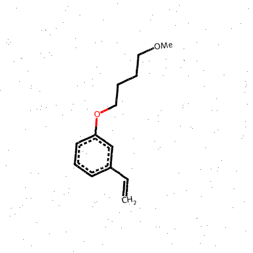 C=Cc1cccc(OCCCCOC)c1